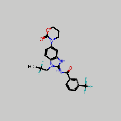 CC(F)(F)Cn1/c(=N/C(=O)c2cccc(C(F)(F)F)c2)[nH]c2cc(N3CCCOC3=O)ccc21